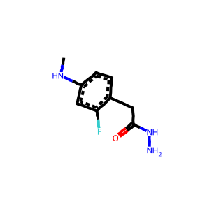 CNc1ccc(CC(=O)NN)c(F)c1